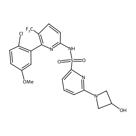 COc1ccc(Cl)c(-c2nc(NS(=O)(=O)c3cccc(N4CC(O)C4)n3)ccc2C(F)(F)F)c1